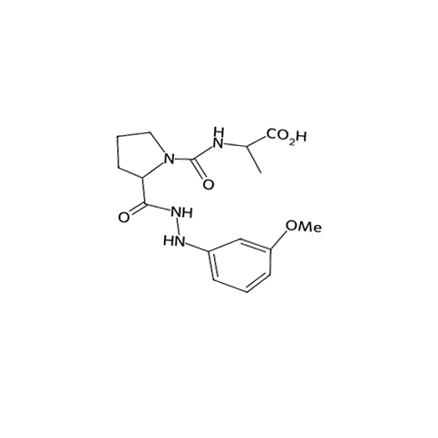 COc1cccc(NNC(=O)C2CCCN2C(=O)NC(C)C(=O)O)c1